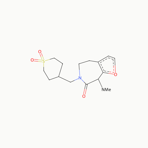 CNC1C(=O)N(CC2CCS(=O)(=O)CC2)CCc2ccoc21